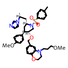 COCCCN1CCOc2ccc(CO[C@H]3CN(S(=O)(=O)c4ccc(C)cc4)[C@@H](C[C@@H](C)n4ccnc4)C[C@@H]3c3ccc(OC)cc3)cc21